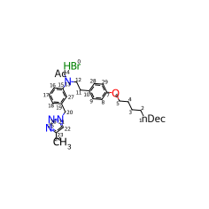 Br.CCCCCCCCCCCCCCOc1ccc(CCN(C(C)=O)c2cccc(Cn3cc(C)nn3)c2)cc1